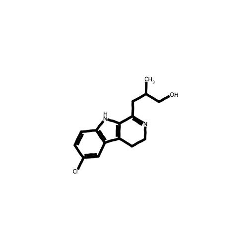 CC(CO)CC1=NCCc2c1[nH]c1ccc(Cl)cc21